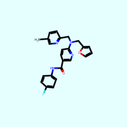 Bc1ccc(CN(Cc2ccco2)c2ccc(C(=O)Nc3ccc(F)cc3)cn2)nc1